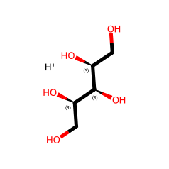 OC[C@@H](O)[C@H](O)[C@@H](O)CO.[H+]